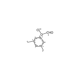 Cc1cccc(C)c1.O=COCl